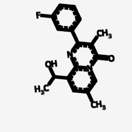 Cc1cc(C(C)O)c2nc(-c3cccc(F)c3)c(C)c(=O)n2c1